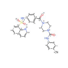 N#Cc1ccc(NC(=O)N2CCN(C(=O)c3ccc(NS(=O)(=O)c4cccc5cccnc45)cc3)CC2)cc1